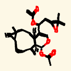 C=C1CCC2BC2(C)CC[C@@H]2C(C(CC3OC3(C)C)OC(C)=O)=CO[C@H](OC(C)=O)[C@@H]12